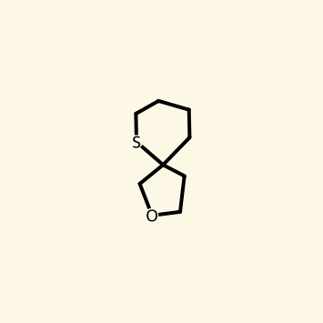 C1CCC2(CCOC2)SC1